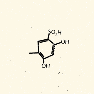 Cc1cc(S(=O)(=O)O)c(O)cc1O